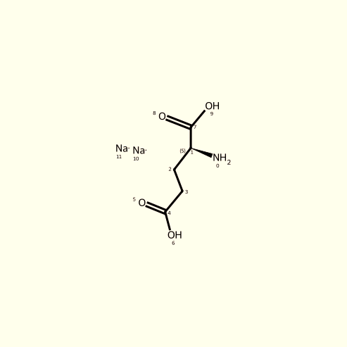 N[C@@H](CCC(=O)O)C(=O)O.[Na].[Na]